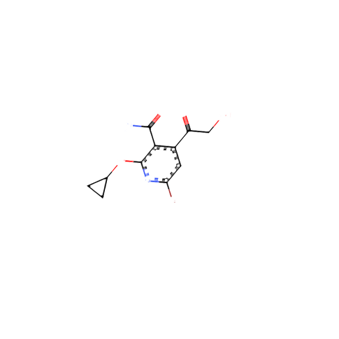 NC(=O)c1c(C(=O)CO)cc(Br)nc1OC1CC1